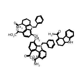 Cc1ccc(C(=O)C(=O)O)c2c3c(C(N)=O)cccc3n(Cc3ccccc3)c12.Cc1ccc(C(=O)C(=O)O)c2c3c(n(Cc4ccccc4)c12)CCCC3C(N)=O.NC(=O)C1=CCCC2Nc3ccccc3C12